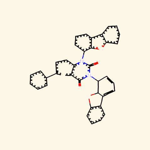 O=c1c2cc(-c3ccccc3)ccc2n(-c2cccc3c2oc2ccccc23)c(=O)n1C1C=CC=C2c3ccccc3OC21